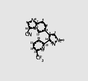 Cn1cc(-c2ccc3ncc(C#N)n3c2)c(-c2cccc(C(F)(F)F)n2)n1